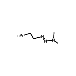 CCCCCN=NN(C)C